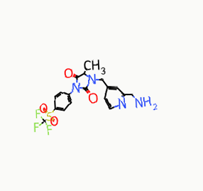 CC1C(=O)N(c2ccc(S(=O)(=O)C(F)(F)F)cc2)C(=O)N1Cc1ccnc(CN)c1